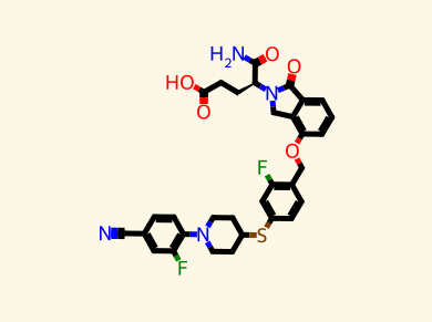 N#Cc1ccc(N2CCC(Sc3ccc(COc4cccc5c4CN([C@@H](CCC(=O)O)C(N)=O)C5=O)c(F)c3)CC2)c(F)c1